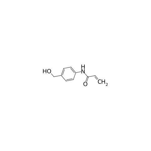 C=CC(=O)Nc1ccc(CO)cc1